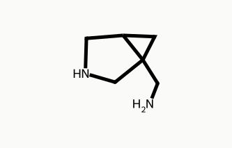 NCC12CNCC1C2